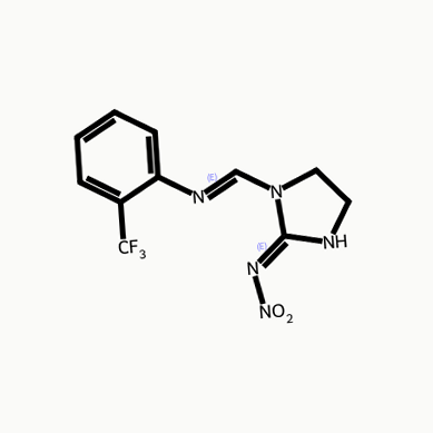 O=[N+]([O-])/N=C1\NCCN1/C=N/c1ccccc1C(F)(F)F